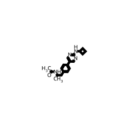 CC(=O)NC(C)Cc1ccc(-c2cnc(NC3CCC3)nc2)cc1